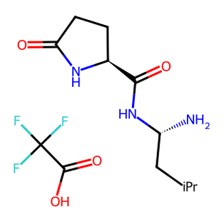 CC(C)C[C@@H](N)NC(=O)[C@@H]1CCC(=O)N1.O=C(O)C(F)(F)F